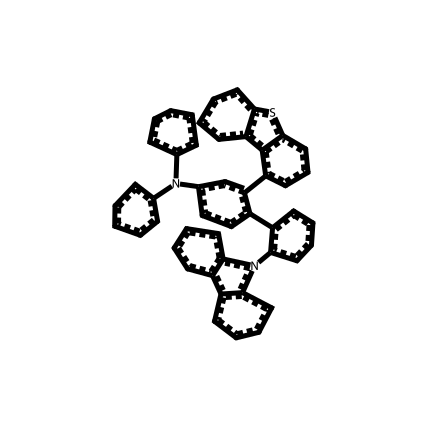 c1ccc(N(c2ccccc2)c2ccc(-c3ccccc3-n3c4ccccc4c4ccccc43)c(-c3cccc4sc5ccccc5c34)c2)cc1